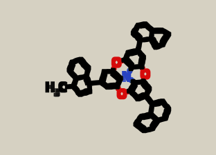 CC1C=CC(c2cc3c4c(c2)Oc2cc(-c5cccc6ccccc56)cc5c2N4c2c(cc(-c4cccc6ccccc46)cc2O5)O3)=C2C=CC=CC21